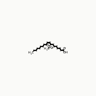 CCCCCCCCC/C=C\C(CCCCCCC(=O)O)S(C)(=O)=O